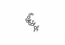 CCCc1ccc(C(F)(F)Oc2ccc3cc(-c4cc(F)c(F)c(F)c4)c(F)c(F)c3c2F)cc1